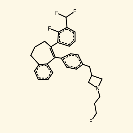 FCCCN1CC(Cc2ccc(C3=C(c4cccc(C(F)F)c4F)CCCc4ccccc43)cc2)C1